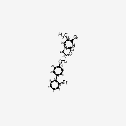 CCc1ccccc1-c1ccc(OC[C@@H]2Cn3cc(C)c(=O)nc3O2)cc1